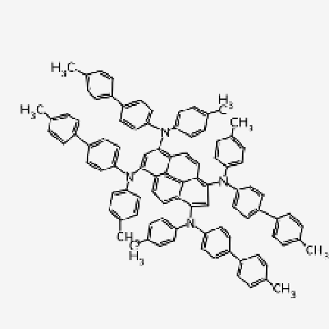 Cc1ccc(-c2ccc(N(c3ccc(C)cc3)c3cc(N(c4ccc(C)cc4)c4ccc(-c5ccc(C)cc5)cc4)c4ccc5c(N(c6ccc(C)cc6)c6ccc(-c7ccc(C)cc7)cc6)cc(N(c6ccc(C)cc6)c6ccc(-c7ccc(C)cc7)cc6)c6ccc3c4c65)cc2)cc1